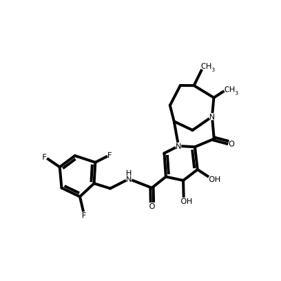 CC1CCC2CN(C(=O)C3=C(O)C(O)C(C(=O)NCc4c(F)cc(F)cc4F)=CN32)C1C